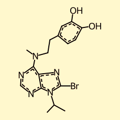 CC(C)n1c(Br)nc2c(N(C)CCc3ccc(O)c(O)c3)ncnc21